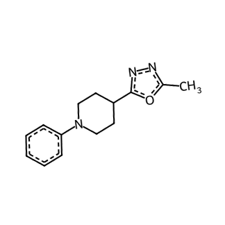 Cc1nnc(C2CCN(c3ccccc3)CC2)o1